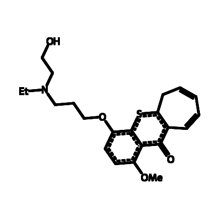 CCN(CCO)CCCOc1ccc(OC)c2c(=O)c3c(sc12)CC=CC=C3